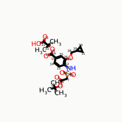 CC(C)(C)OC(=O)CS(=O)(=O)Nc1ccc(C(=O)OC(C)(C)C(=O)O)cc1OCC1CC1